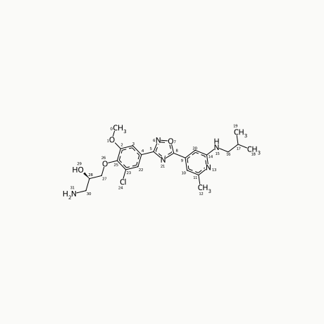 COc1cc(-c2noc(-c3cc(C)nc(NCC(C)C)c3)n2)cc(Cl)c1OC[C@H](O)CN